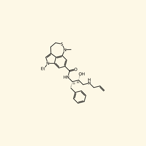 C=CCNC[C@@H](O)[C@H](Cc1ccccc1)NC(=O)c1cc2c3c(cn(CC)c3c1)CCSN2C